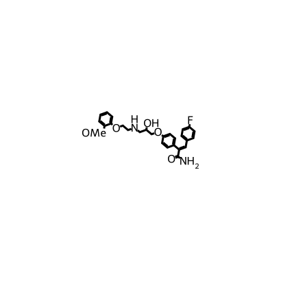 COc1ccccc1OCCNCC(O)COc1ccc(/C(=C\c2ccc(F)cc2)C(N)=O)cc1